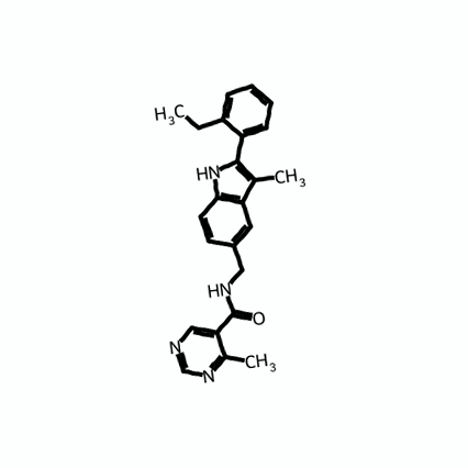 CCc1ccccc1-c1[nH]c2ccc(CNC(=O)c3cncnc3C)cc2c1C